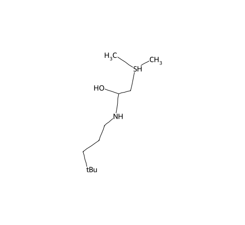 C[SH](C)CC(O)NCCCC(C)(C)C